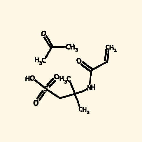 C=CC(=O)NC(C)(C)CS(=O)(=O)O.CC(C)=O